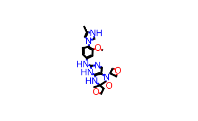 COc1cc(NC2N=CC3=C(N2)NC2(CCOC2)C(=O)N3C2COC2)ccc1N1C=C(C)NC1